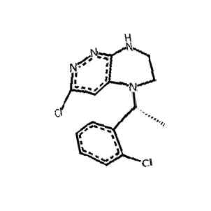 C[C@H](c1ccccc1Cl)N1CCNc2nnc(Cl)cc21